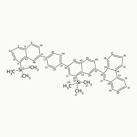 C[Si](C)(C)c1cccc2ccc(-c3ccc(-c4cc([Si](C)(C)C)c5cc(-c6cc7ccccc7c7ccccc67)ccc5c4)cc3)cc12